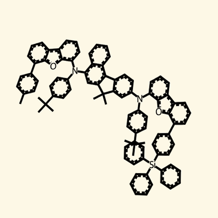 Cc1ccc(-c2cccc3c2oc2c(N(c4ccc(C(C)(C)C)cc4)c4cc5c(c6ccccc46)-c4ccc(N(c6ccc(C(C)(C)C)cc6)c6cccc7c6oc6c(-c8ccc([Si](c9ccccc9)(c9ccccc9)c9ccccc9)cc8)cccc67)cc4C5(C)C)cccc23)cc1